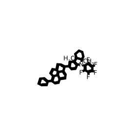 CC12CCCCC1(C)N(c1c(F)c(F)c(F)c(F)c1F)c1ccc(-c3ccc4ccc5c(-c6ccccc6)ccc6ccc3c4c65)cc12